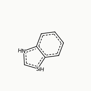 c1ccc2[siH]c[nH]c2c1